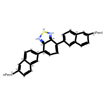 CCCCCc1ccc2cc(-c3ccc(-c4ccc5cc(CCCCC)ccc5c4)c4nsnc34)ccc2c1